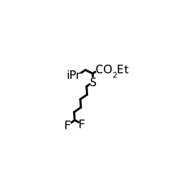 CCOC(=O)C(CC(C)C)SCCCCCC(F)F